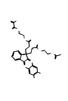 C=C(C)C(=O)OCCOC(=O)CCC1(CCC(=O)OCCOC(=O)C(C)C)c2ccccc2-c2nc3cc(C)c(C)cc3nc21